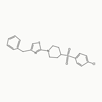 O=S(=O)(c1ccc(Cl)cc1)C1CCN(c2nc(Cc3ccccc3)cs2)CC1